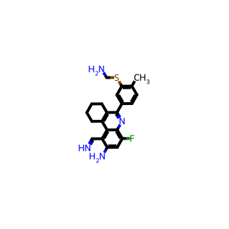 Cc1ccc(-c2nc3c(F)cc(N)c(C=N)c3c3c2CCCC3)cc1SCN